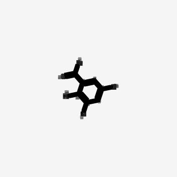 CCC(=O)c1cc(Cl)cc(Cl)c1CC